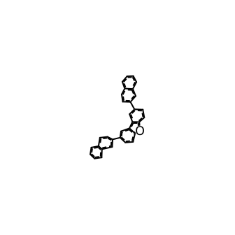 c1ccc2cc(-c3ccc4oc5ccc(-c6ccc7ccccc7c6)cc5c4c3)ccc2c1